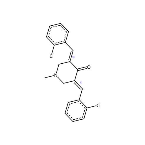 CN1C/C(=C\c2ccccc2Cl)C(=O)/C(=C/c2ccccc2Cl)C1